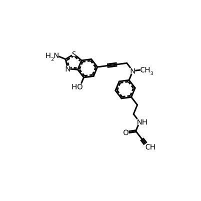 C#CC(=O)NCCc1cccc(N(C)CC#Cc2cc(O)c3nc(N)sc3c2)c1